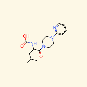 CC(C)CC(NC(=O)O)C(=O)N1CCN(c2ccccn2)CC1